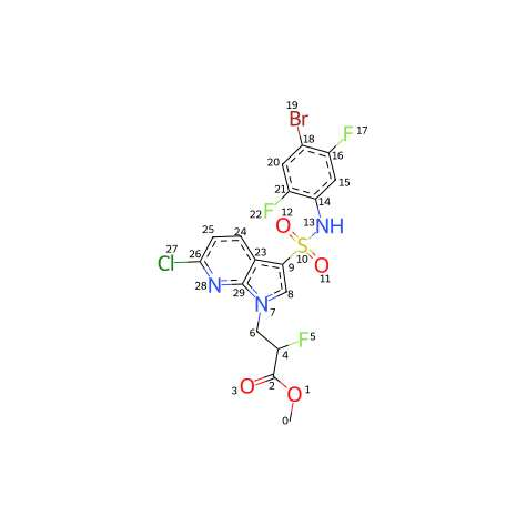 COC(=O)C(F)Cn1cc(S(=O)(=O)Nc2cc(F)c(Br)cc2F)c2ccc(Cl)nc21